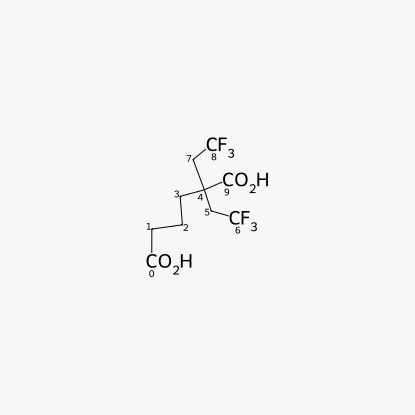 O=C(O)CCCC(CC(F)(F)F)(CC(F)(F)F)C(=O)O